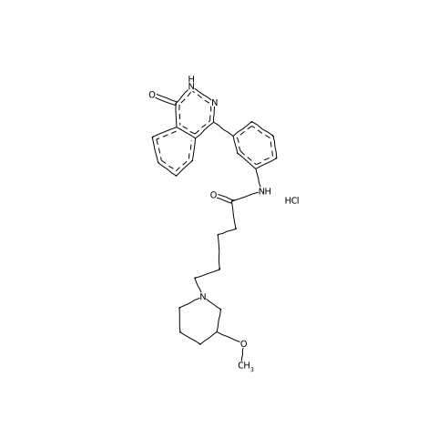 COC1CCCN(CCCCC(=O)Nc2cccc(-c3n[nH]c(=O)c4ccccc34)c2)C1.Cl